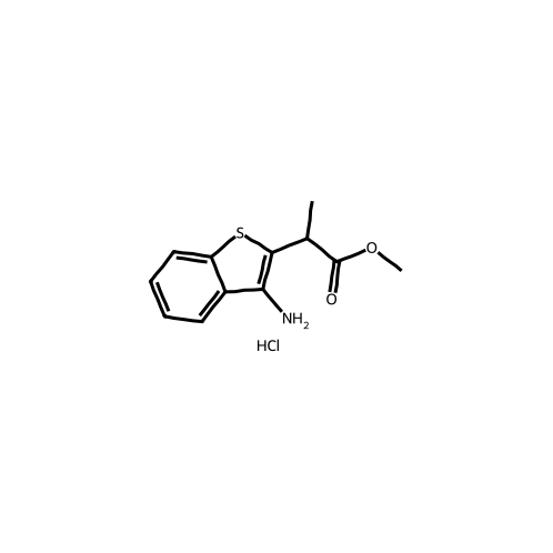 COC(=O)C(C)c1sc2ccccc2c1N.Cl